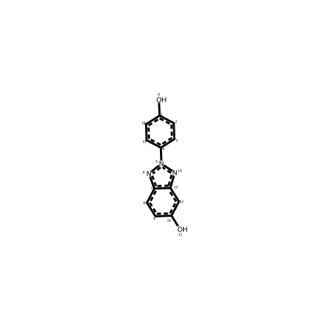 Oc1ccc(-n2nc3ccc(O)cc3n2)cc1